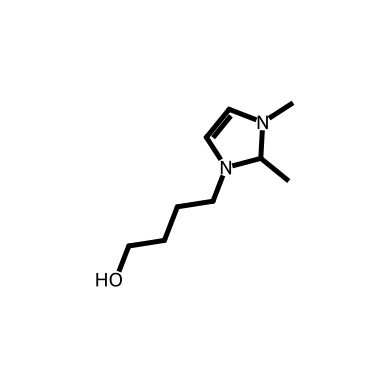 CC1N(C)C=CN1CCCCO